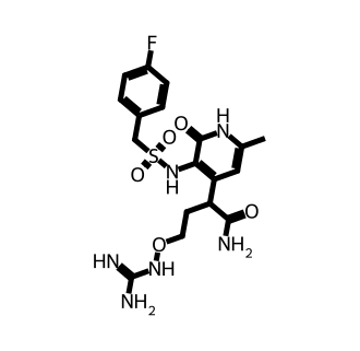 Cc1cc(C(CCONC(=N)N)C(N)=O)c(NS(=O)(=O)Cc2ccc(F)cc2)c(=O)[nH]1